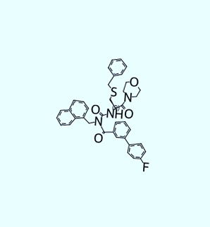 O=C([C@H](CSCc1ccccc1)NC(=O)N(Cc1cccc2ccccc12)C(=O)c1cccc(-c2ccc(F)cc2)c1)N1CCOCC1